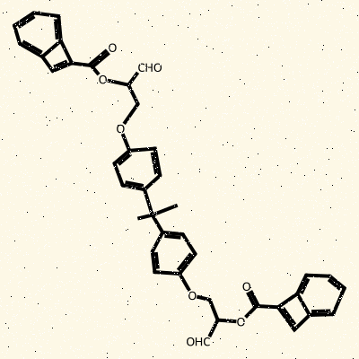 CC(C)(c1ccc(OCC(C=O)OC(=O)C2=Cc3ccccc32)cc1)c1ccc(OCC(C=O)OC(=O)C2=Cc3ccccc32)cc1